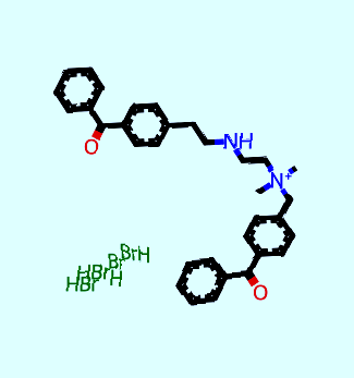 Br.Br.Br.Br.C[N+](C)(CCNCCc1ccc(C(=O)c2ccccc2)cc1)Cc1ccc(C(=O)c2ccccc2)cc1